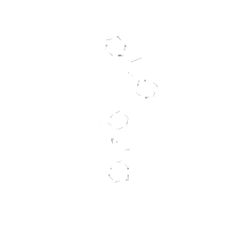 O=C(O)c1ccc(C(=O)Nc2cc(Oc3ccc(O)c(NC(=O)c4ccc(OCO)cc4)c3)ccc2O)cc1